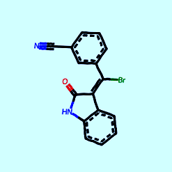 N#Cc1cccc(C(Br)=C2C(=O)Nc3ccccc32)c1